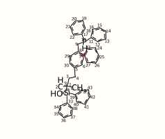 CC(C)(CCc1ccc(C[PH](c2ccccc2)(c2ccccc2)c2ccccc2)cc1)[Si](O)(c1ccccc1)c1ccccc1